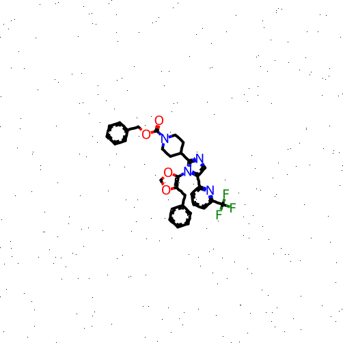 O=C(OCc1ccccc1)N1CCC(c2ncc(-c3cccc(C(F)(F)F)n3)n2C2=C(Cc3ccccc3)OCO2)CC1